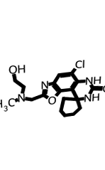 CN(CCO)Cc1nc2cc(Cl)c3c(c2o1)C1(CCCCC1)NC(=O)N3